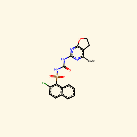 COc1nc(NC(=O)NS(=O)(=O)c2c(Cl)ccc3ccccc23)nc2c1CCO2